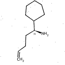 C=CCC[C@H](N)C1CCCCC1